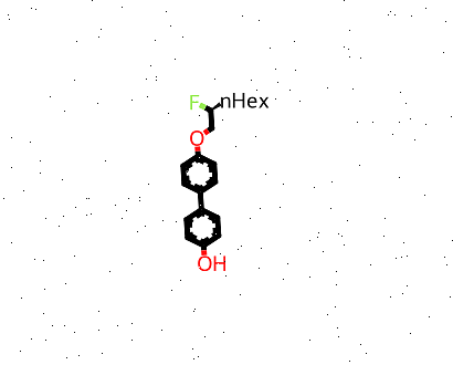 CCCCCC[C@H](F)COc1ccc(-c2ccc(O)cc2)cc1